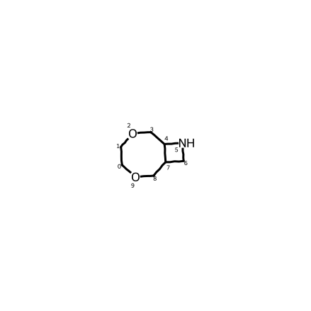 C1COCC2NCC2CO1